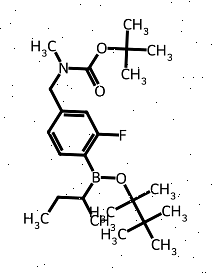 CCC(C)B(OC(C)(C)C(C)(C)C)c1ccc(CN(C)C(=O)OC(C)(C)C)cc1F